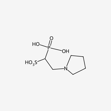 O=P(O)(O)C(CN1CCCC1)S(=O)(=O)O